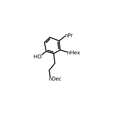 CCCCCCCCCCCCc1c(O)ccc(CCC)c1CCCCCC